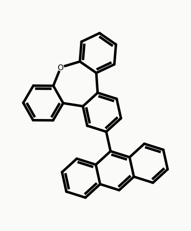 c1ccc2c(c1)Oc1ccccc1-c1cc(-c3c4ccccc4cc4ccccc34)ccc1-2